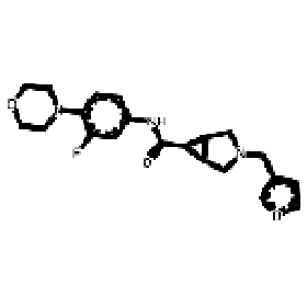 O=C(Nc1ccc(N2CCOCC2)c(F)c1)C1C2CN(Cc3ccoc3)CC21